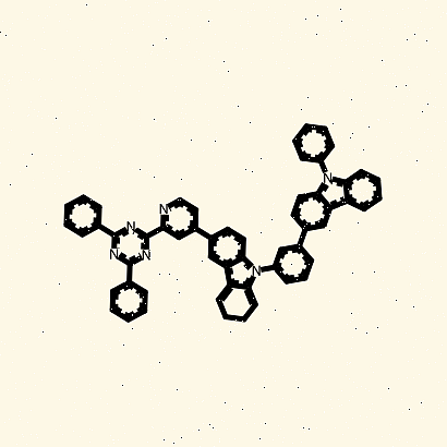 C1=c2c(n(-c3cccc(-c4ccc5c(c4)c4ccccc4n5-c4ccccc4)c3)c3ccc(-c4ccnc(-c5nc(-c6ccccc6)nc(-c6ccccc6)n5)c4)cc23)=CCC1